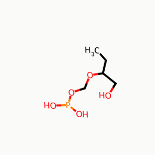 CCC(CO)OCOP(O)O